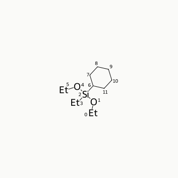 CCO[Si](CC)(OCC)C1CCCCC1